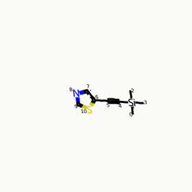 C[Si](C)(C)C#Cc1[c]ncs1